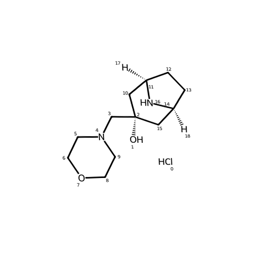 Cl.O[C@]1(CN2CCOCC2)C[C@H]2CC[C@@H](C1)N2